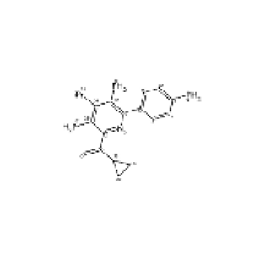 C=C(c1nc(-c2ccc(P)cc2)c(P)c(C(C)C)c1P)C1CC1